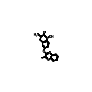 Cc1nc2ccccc2nc1Oc1ccc2c(c1)CC(N)C(=O)N2O